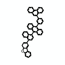 C1=C(c2ccc(-c3c4ccccc4c(-c4cccc(-c5cc6ccccc6c6ccccc56)c4)c4ccccc34)c3ccccc23)C=C2c3ccccc3OC2C1